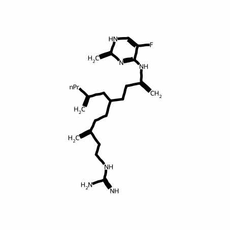 C=C(CCNC(=N)N)CCC(CCC(=C)NC1=NC(=C)NC=C1F)CC(=C)CCC